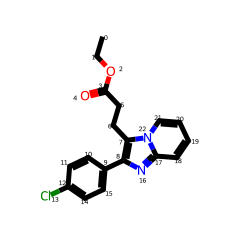 CCOC(=O)CCc1c(-c2ccc(Cl)cc2)nc2ccccn12